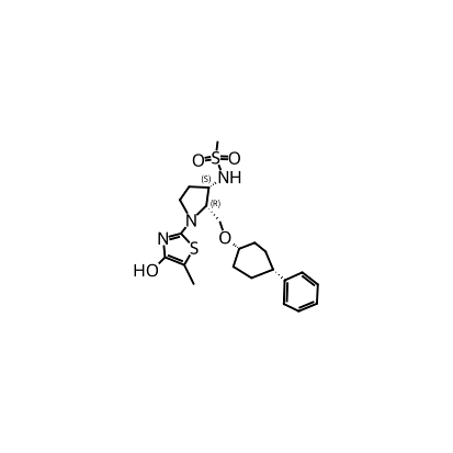 Cc1sc(N2CC[C@H](NS(C)(=O)=O)[C@@H]2CO[C@H]2CC[C@@H](c3ccccc3)CC2)nc1O